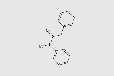 CCN(C(=O)Cc1ccccc1)c1ccccc1